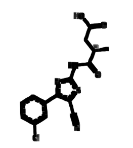 C[C@H](CC(=O)O)C(=O)Nc1nc(-c2cccc(Cl)c2)c(C#N)s1